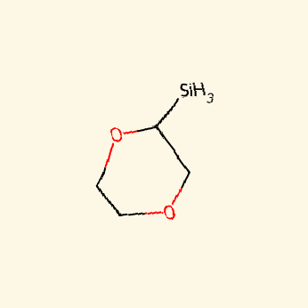 [SiH3]C1COCCO1